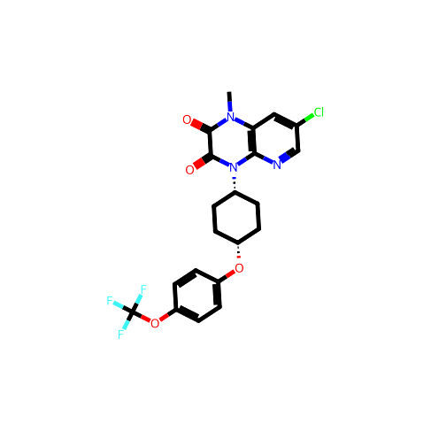 Cn1c(=O)c(=O)n([C@H]2CC[C@@H](Oc3ccc(OC(F)(F)F)cc3)CC2)c2ncc(Cl)cc21